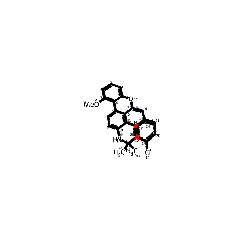 COc1cccc2c1-c1ccc3c(c1/C(=C\c1ccc(Cl)cc1)O2)C(C)=CC(C)(C)N3